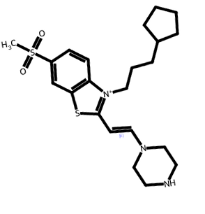 CS(=O)(=O)c1ccc2c(c1)sc(/C=C/N1CCNCC1)[n+]2CCCC1CCCC1